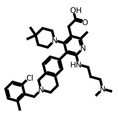 Cc1cccc(Cl)c1CN1CCc2cc(-c3c(NCCCN(C)C)nc(C)c(CC(=O)O)c3N3CCC(C)(C)CC3)ccc2C1